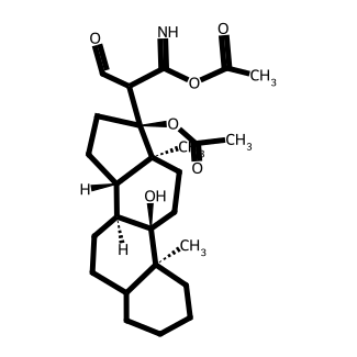 CC(=O)OC(=N)C(C=O)[C@@]1(OC(C)=O)CC[C@H]2[C@@H]3CCC4CCCC[C@]4(C)[C@@]3(O)CC[C@@]21C